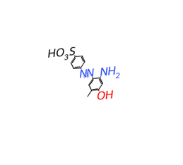 Cc1cc(/N=N/c2ccc(S(=O)(=O)O)cc2)c(N)cc1O